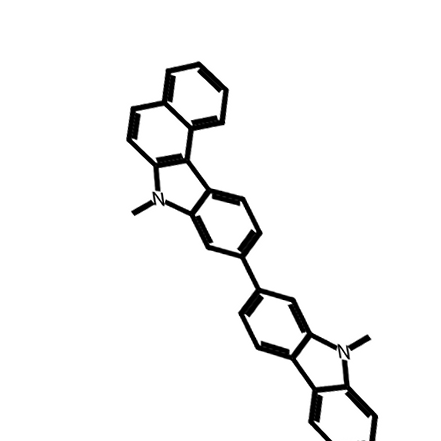 Cn1c2ccccc2c2ccc(-c3ccc4c5c6ccccc6ccc5n(C)c4c3)cc21